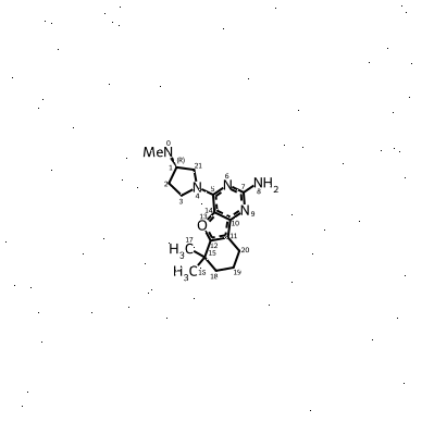 CN[C@@H]1CCN(c2nc(N)nc3c4c(oc23)C(C)(C)CCC4)C1